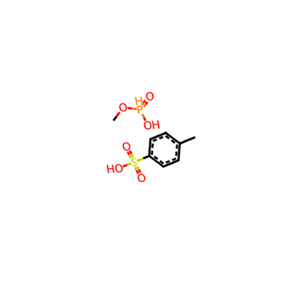 CO[PH](=O)O.Cc1ccc(S(=O)(=O)O)cc1